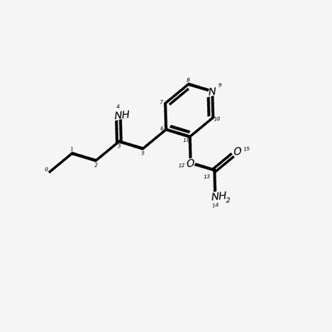 CCCC(=N)Cc1ccncc1OC(N)=O